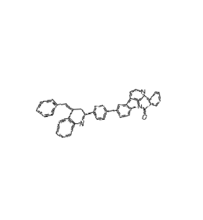 O=c1c2ccccc2c2nccc3c4cc(-c5ccc(C6=Nc7ccccc7/C(=C\c7ccccc7)C6)cc5)ccc4n1c32